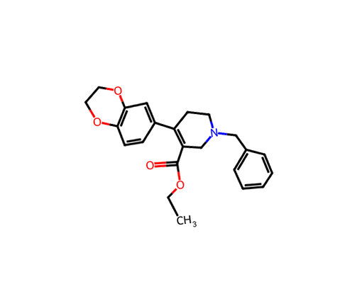 CCOC(=O)C1=C(c2ccc3c(c2)OCCO3)CCN(Cc2ccccc2)C1